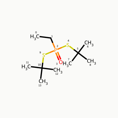 CCP(=O)(SC(C)(C)C)SC(C)(C)C